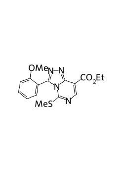 CCOC(=O)c1cnc(SC)n2c(-c3ccccc3OC)nnc12